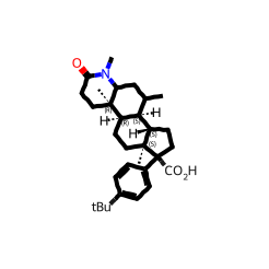 CC1CC2N(C)C(=O)CC[C@]2(C)[C@@H]2CC[C@@]3(C)[C@@H](CCC3(C(=O)O)c3ccc(C(C)(C)C)cc3)[C@H]12